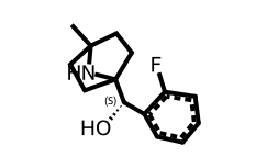 CC12CCC([C@@H](O)c3ccccc3F)(CC1)N2